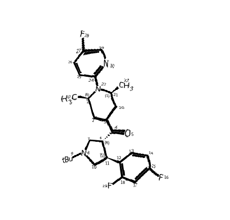 C[C@@H]1CC(C(=O)[C@H]2CN(C(C)(C)C)C[C@@H]2c2ccc(F)cc2F)C[C@H](C)N1c1ccc(F)cn1